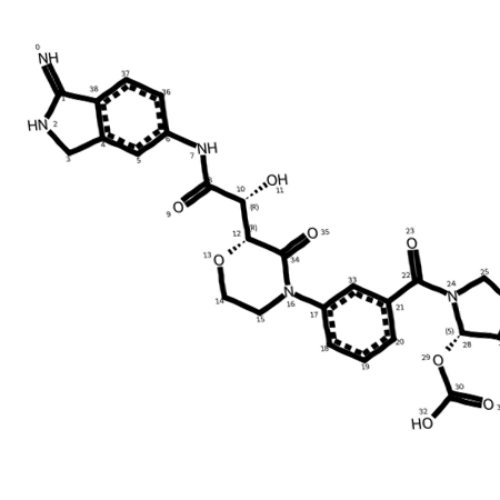 N=C1NCc2cc(NC(=O)[C@H](O)[C@H]3OCCN(c4cccc(C(=O)N5CCC[C@@H]5OC(=O)O)c4)C3=O)ccc21